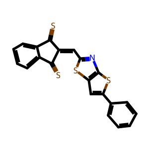 S=C1C(=Cc2nc3sc(-c4ccccc4)cc3s2)C(=S)c2ccccc21